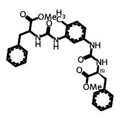 COC(=O)C(Cc1ccccc1)NC(=O)Nc1cc(NC(=O)N[C@@H](Cc2ccccc2)C(=O)OC)ccc1C